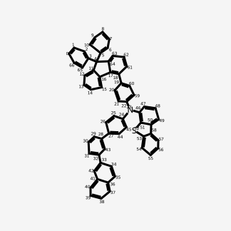 c1ccc(C2(c3ccccc3)c3ccccc3-c3c(-c4ccc(N(c5ccc(-c6cccc(-c7ccc8ccccc8c7)c6)cc5)c5cccc6c5sc5ccccc56)cc4)cccc32)cc1